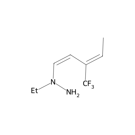 C/C=C(\C=C/N(N)CC)C(F)(F)F